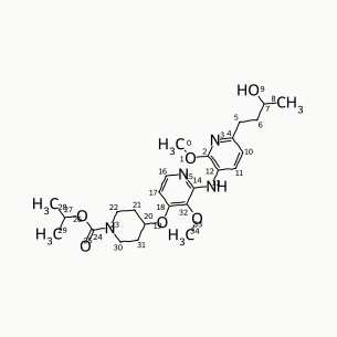 COc1nc(CCC(C)O)ccc1Nc1nccc(OC2CCN(C(=O)OC(C)C)CC2)c1OC